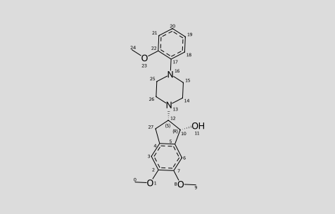 COc1cc2c(cc1OC)[C@@H](O)[C@@H](N1CCN(c3ccccc3OC)CC1)C2